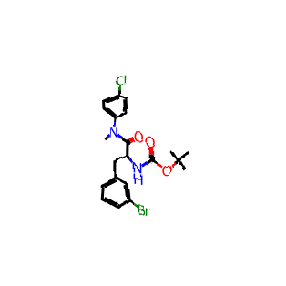 CN(C(=O)[C@H](Cc1cccc(Br)c1)NC(=O)OC(C)(C)C)c1ccc(Cl)cc1